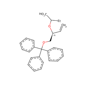 C=C[C@@H](COC(c1ccccc1)(c1ccccc1)c1ccccc1)OC(CC)C(=O)O